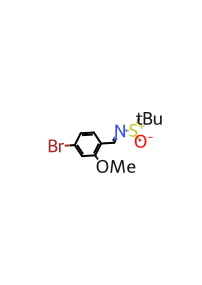 COc1cc(Br)ccc1C=N[S+]([O-])C(C)(C)C